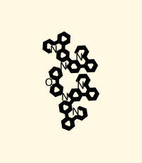 C1=CC2C(C=C1c1ccccc1-c1ccccn1)c1cc(-c3ccccc3-c3ccccn3)ccc1N2c1ccc2oc3ccc(-n4c5ccc(-c6ccccc6-c6ccccn6)cc5c5cc(-c6ccccc6-c6ccccn6)ccc54)cc3c2c1